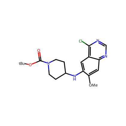 COc1cc2ncnc(Cl)c2cc1NC1CCN(C(=O)OC(C)(C)C)CC1